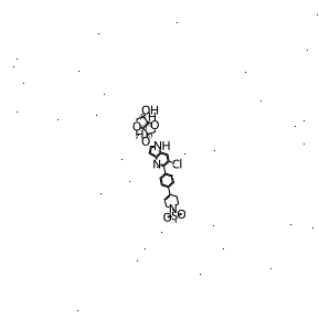 CS(=O)(=O)N1CC=C(c2ccc(-c3nc4cc(O[C@@H]5CO[C@H]6[C@@H]5OC[C@H]6O)[nH]c4cc3Cl)cc2)CC1